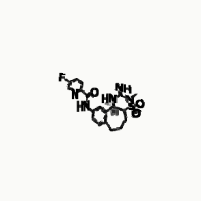 CN1C(=N)N[C@]2(C)c3cc(NC(=O)c4ccc(F)cn4)ccc3CCCC2S1(=O)=O